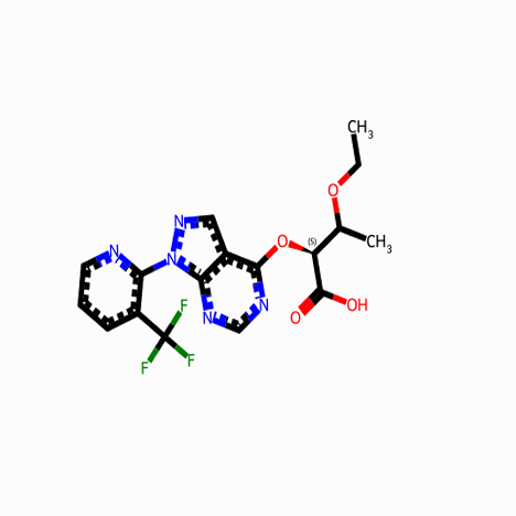 CCOC(C)[C@H](Oc1ncnc2c1cnn2-c1ncccc1C(F)(F)F)C(=O)O